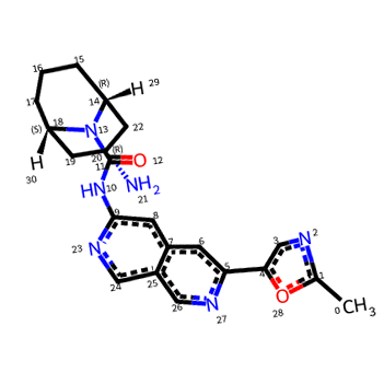 Cc1ncc(-c2cc3cc(NC(=O)N4[C@@H]5CCC[C@H]4C[C@@H](N)C5)ncc3cn2)o1